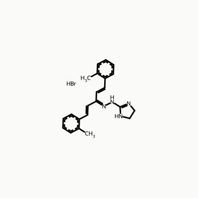 Br.Cc1ccccc1C=CC(C=Cc1ccccc1C)=NNC1=NCCN1